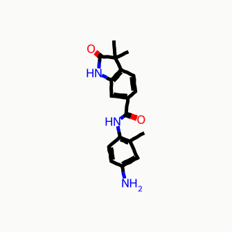 Cc1cc(N)ccc1NC(=O)c1ccc2c(c1)NC(=O)C2(C)C